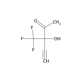 C#CC(O)(C(C)=O)C(F)(F)F